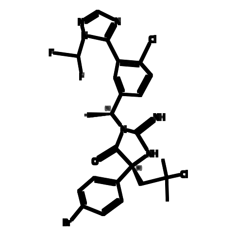 [CH2][C@@H](c1ccc(Cl)c(-c2ncnn2C(F)F)c1)N1C(=N)N[C@](CC(C)(C)Cl)(c2ccc(Br)cc2)C1=O